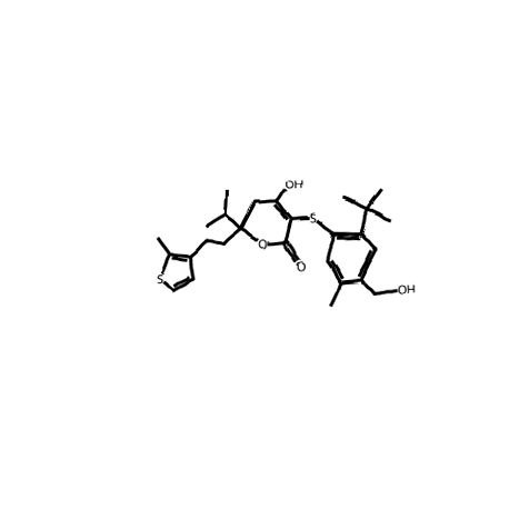 Cc1cc(SC2=C(O)CC(CCc3ccsc3C)(C(C)C)OC2=O)c(C(C)(C)C)cc1CO